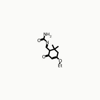 CCOC1=CC(=O)C(C=NC(N)=O)C(C)(C)C1